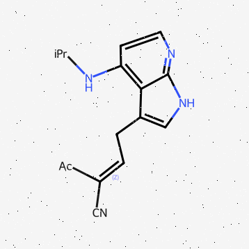 CC(=O)/C(C#N)=C\Cc1c[nH]c2nccc(NC(C)C)c12